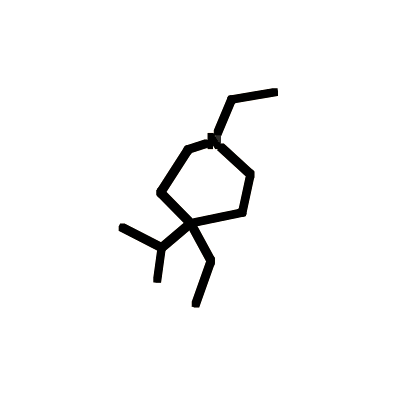 CCN1CCC(CC)(C(C)C)CC1